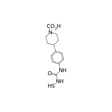 O=C(NS)Nc1ccc(C2CCN(C(=O)O)CC2)cc1